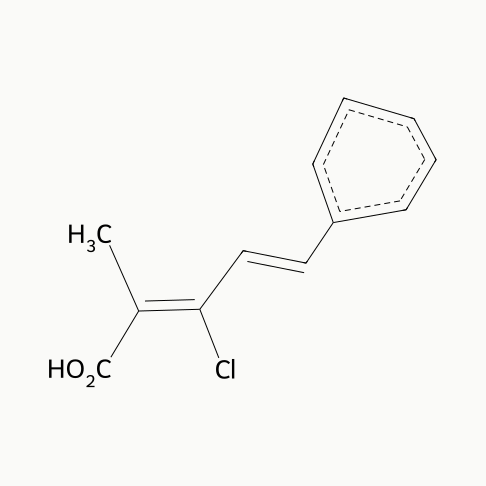 CC(C(=O)O)=C(Cl)C=Cc1ccccc1